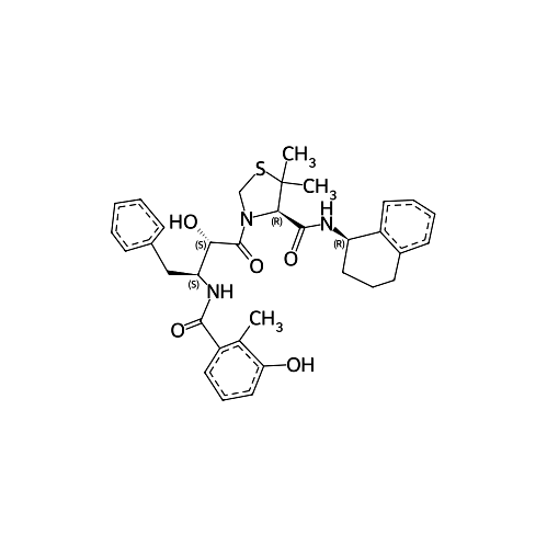 Cc1c(O)cccc1C(=O)N[C@@H](Cc1ccccc1)[C@H](O)C(=O)N1CSC(C)(C)[C@H]1C(=O)N[C@@H]1CCCc2ccccc21